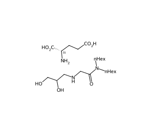 CCCCCCN(CCCCCC)C(=O)CNCC(O)CO.N[C@@H](CCC(=O)O)C(=O)O